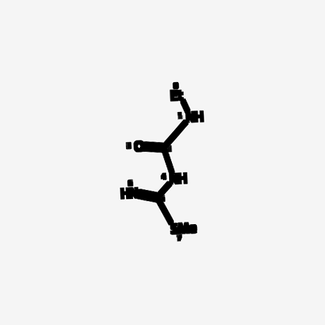 CCNC(=O)NC(=N)SC